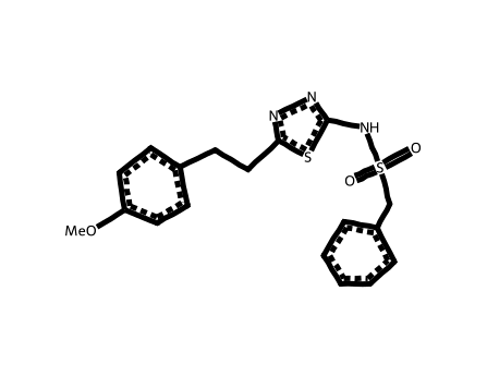 COc1ccc(CCc2nnc(NS(=O)(=O)Cc3ccccc3)s2)cc1